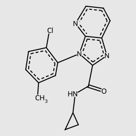 Cc1ccc(Cl)c(-n2c(C(=O)NC3CC3)nc3cccnc32)c1